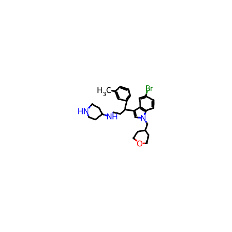 Cc1cccc(C(CCNC2CCNCC2)c2cn(CC3CCOCC3)c3ccc(Br)cc23)c1